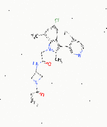 C=CC(=O)N1CC(NC(=O)Cn2c(C)c(-c3cnccc3C(C)C)c3cc(Cl)cc(C)c32)C1